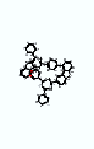 c1ccc(-c2nc(-c3ccccc3)nc(-c3ccc4oc5cccc(-c6ccc(-c7nc(-c8ccccc8)c8sc9ccccc9c8n7)cc6)c5c4c3)n2)cc1